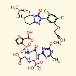 C#CCOc1cc(-n2nc3n(c2=O)CCCC3)c(Cl)cc1Cl.COc1nc(C)nc(NC(=O)NS(=O)(=O)c2ccsc2C(=O)O)n1.C[S+](C)C.O=C(O)CNCP(=O)([O-])O